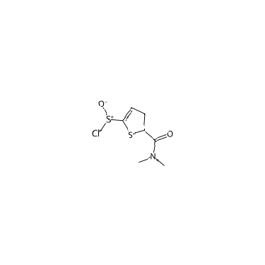 CN(C)C(=O)C1CC=C([S+]([O-])Cl)S1